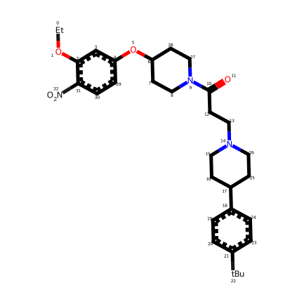 CCOc1cc(OC2CCN(C(=O)CCN3CCC(c4ccc(C(C)(C)C)cc4)CC3)CC2)ccc1[N+](=O)[O-]